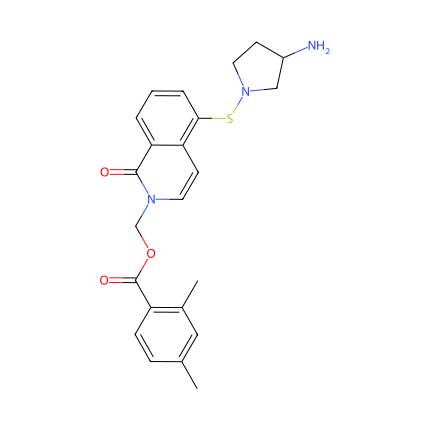 Cc1ccc(C(=O)OCn2ccc3c(SN4CCC(N)C4)cccc3c2=O)c(C)c1